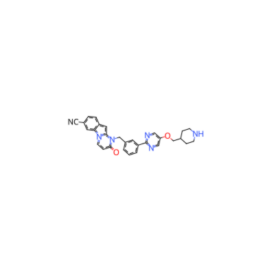 N#Cc1ccc2cc3n(Cc4cccc(-c5ncc(OCC6CCNCC6)cn5)c4)c(=O)ccn3c2c1